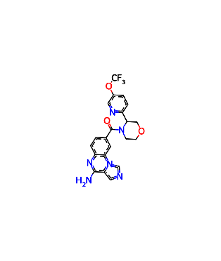 Nc1nc2ccc(C(=O)N3CCOCC3c3ccc(OC(F)(F)F)cn3)cc2n2cncc12